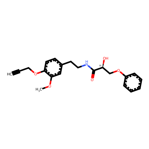 C#CCOc1ccc(CCNC(=O)[C@@H](O)COc2ccccc2)cc1OC